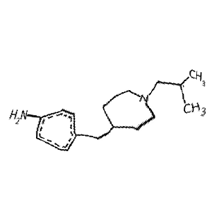 C[C](C)CN1CCC(Cc2ccc(N)cc2)CC1